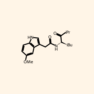 CC[C@H](C)[C@H](NC(=O)Cc1c[nH]c2ccc(OC)cc12)C(=O)C(C)C